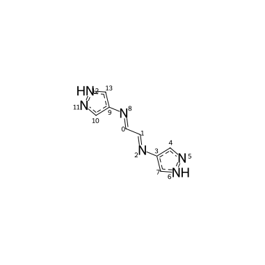 C(/C=N/c1cn[nH]c1)=N\c1cn[nH]c1